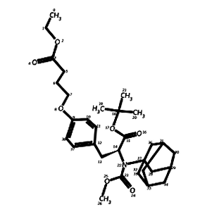 CCOC(=O)CCCOc1ccc(C[C@@H](C(=O)OC(C)(C)C)N(C(=O)OC)C23CC4CC(CC(C4)C2)C3)cc1